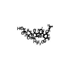 COc1cc(-c2ncnc3c(C(=O)N[C@@H]4CCN(C(=O)CO)C[C@@H]4O)c(C)[nH]c23)c(OCC2CC2)cc1F